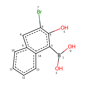 OB(O)c1c(O)c(Br)cc2ccccc12